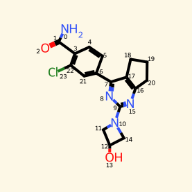 NC(=O)c1ccc(-c2nc(N3CC(O)C3)nc3c2CCC3)cc1Cl